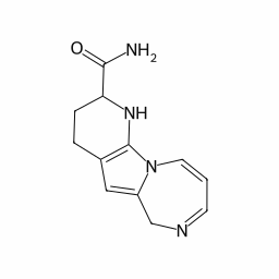 NC(=O)C1CCc2cc3n(c2N1)C=CC=NC3